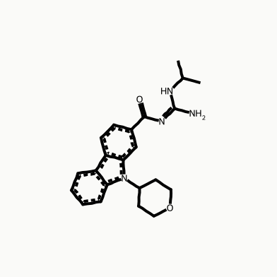 CC(C)N/C(N)=N\C(=O)c1ccc2c3ccccc3n(C3CCOCC3)c2c1